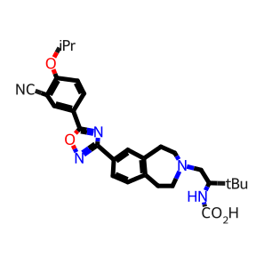 CC(C)Oc1ccc(-c2nc(-c3ccc4c(c3)CCN(CC(NC(=O)O)C(C)(C)C)CC4)no2)cc1C#N